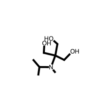 CC(C)N(C)C(CO)(CO)CO